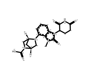 Cn1c(=O)n(C2CCC(=O)NC2=O)c2cccc(N3C[C@H]4C[C@@H]3CN4C(=O)O)c21